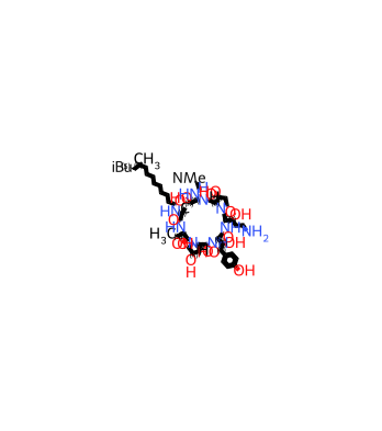 CC[C@H](C)C[C@H](C)CCCCCCCCC(=O)N[C@H]1C[C@@H](O)[C@@H](NCCNC)NC(=O)[C@@H]2[C@@H](O)CCN2C(=O)[C@H]([C@H](O)CCN)NC(=O)[C@H]([C@H](O)[C@@H](O)c2ccc(O)cc2)NC(=O)[C@@H]2C[C@@H](O)CN2C(=O)[C@H]([C@@H](C)O)NC1=O